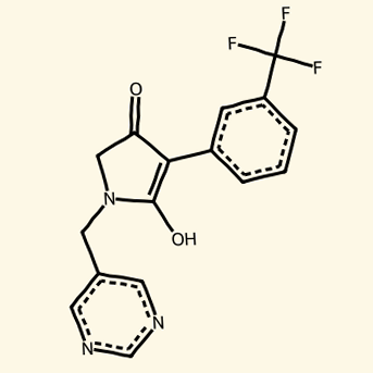 O=C1CN(Cc2cncnc2)C(O)=C1c1cccc(C(F)(F)F)c1